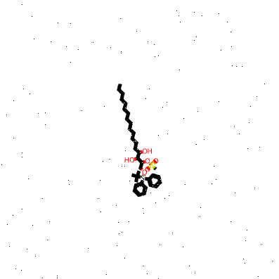 CCCCCCCCCCCCCCC(O)C(O)C(CO[Si](c1ccccc1)(c1ccccc1)C(C)(C)C)OS(C)(=O)=O